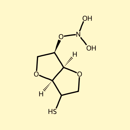 ON(O)O[C@@H]1CO[C@@H]2C(S)CO[C@@H]21